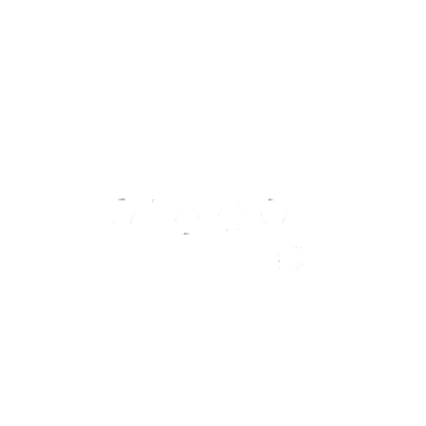 O=C(O)C(Oc1ccc(-c2ccc(-c3cccc4c3oc3ccccc34)cc2)cc1F)c1ccccc1